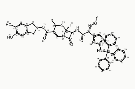 CON=C(C(=O)NC1C(=O)N2C=C(C(=O)ON3Cc4cc(O)c(O)cc4C3)C(C)S[C@H]12)c1csc(NC(c2ccccc2)(c2ccccc2)c2ccccc2)n1